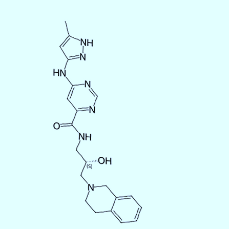 Cc1cc(Nc2cc(C(=O)NC[C@H](O)CN3CCc4ccccc4C3)ncn2)n[nH]1